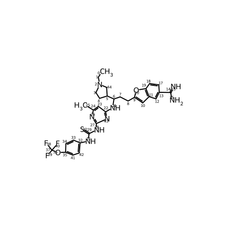 CCN1CCC(C(CCc2cc3cc(C(=N)N)ccc3o2)Nc2cc(C)nc(NC(=S)Nc3ccc(OC(F)(F)F)cc3)n2)C1